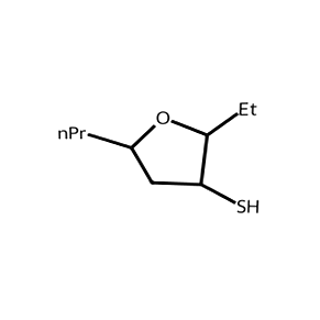 CCCC1CC(S)C(CC)O1